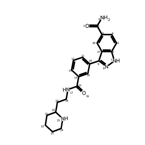 NC(=O)c1ccc2[nH]nc(-c3cccc(C(=O)NCCC4CCCCN4)c3)c2c1